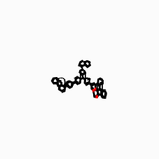 c1cc(-c2ccc(N(c3ccc(-c4ccc(-c5cccc6c5oc5ccccc56)cc4)cc3)c3ccc(-c4cccc5ccccc45)cc3)cc2)cc(-c2ccccc2-n2c3ccccc3c3ccccc32)c1